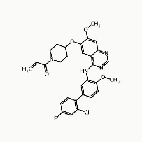 C=CC(=O)N1CCC(Oc2cc3c(Nc4cc(-c5ccc(F)cc5Cl)ccc4OC)ncnc3cc2OC)CC1